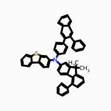 CC1(C)c2cc(N(c3ccc(-c4cc5ccccc5cc4-c4ccccc4)cc3)c3ccc4c(c3)sc3ccccc34)ccc2-c2c(-c3ccccc3)cccc21